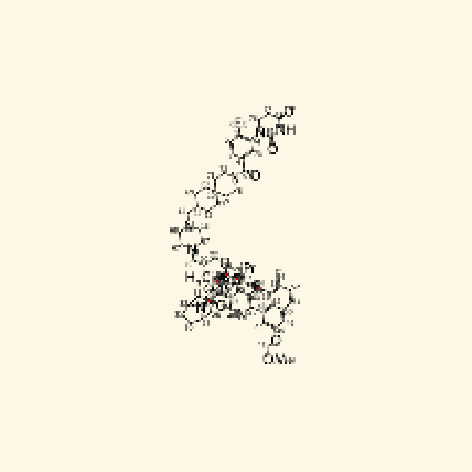 CCc1ccc(C(=O)N2CCC3(CCC(CN4CCN(C[C@@H](C)COc5nc(N6CC7CCC(C6)N7C(=O)OC(C)(C)C)c6cnc(-c7cc(OCOC)cc8ccc(F)c(C#C[Si](C(C)C)(C(C)C)C(C)C)c78)c(F)c6n5)CC4)CC3)CC2)cc1N1CCC(=O)NC1=O